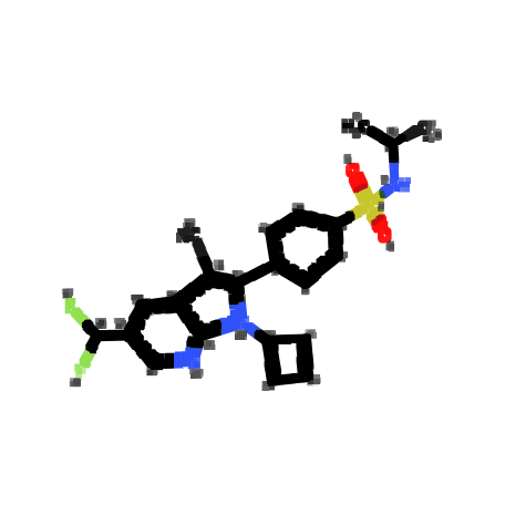 C[C@H](NS(=O)(=O)c1ccc(-c2c(C#N)c3cc(C(F)F)cnc3n2C2=CC=C2)cc1)C(F)(F)F